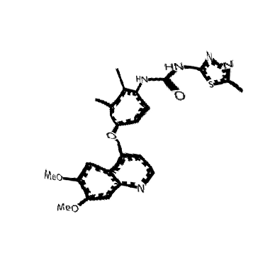 COc1cc2nccc(Oc3ccc(NC(=O)Nc4nnc(C)s4)c(C)c3C)c2cc1OC